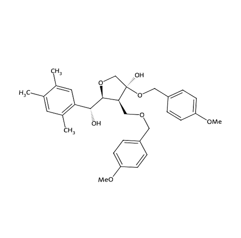 COc1ccc(COC[C@H]2[C@@H]([C@H](O)c3cc(C)c(C)cc3C)OC[C@@]2(O)OCc2ccc(OC)cc2)cc1